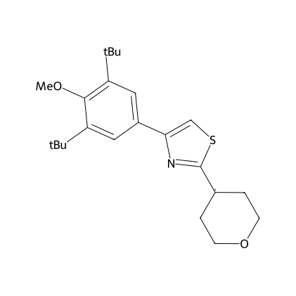 COc1c(C(C)(C)C)cc(-c2csc([C]3CCOCC3)n2)cc1C(C)(C)C